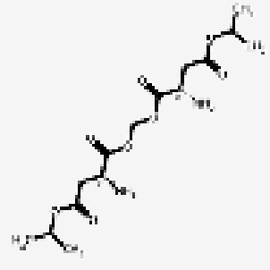 CC(C)OC(=O)C[C@H](N)C(=O)OCOC(=O)[C@@H](N)CC(=O)OC(C)C